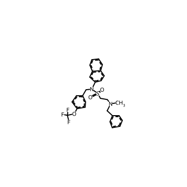 CN(CCS(=O)(=O)N(Cc1ccc(OC(F)(F)F)cc1)c1ccc2ccccc2c1)Cc1ccccc1